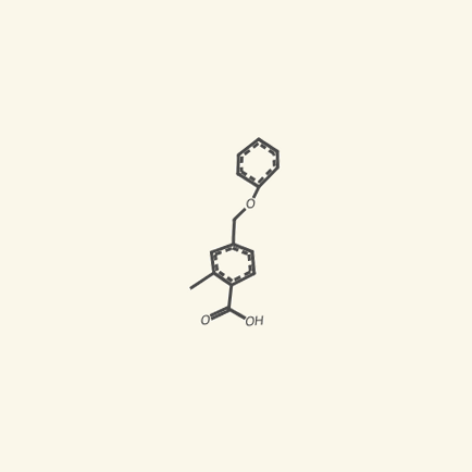 Cc1cc(COc2ccccc2)ccc1C(=O)O